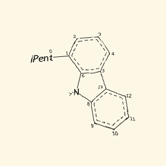 CCCC(C)c1cccc2c1[N]c1ccccc1-2